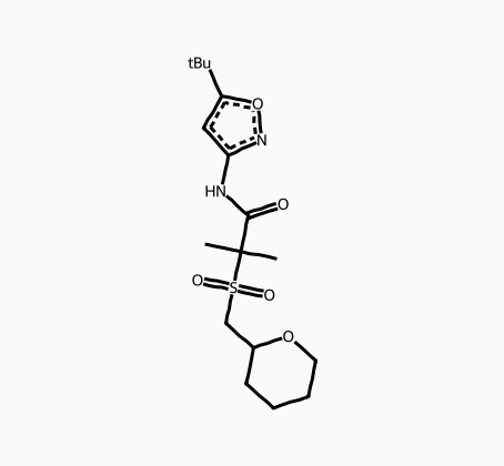 CC(C)(C)c1cc(NC(=O)C(C)(C)S(=O)(=O)CC2CCCCO2)no1